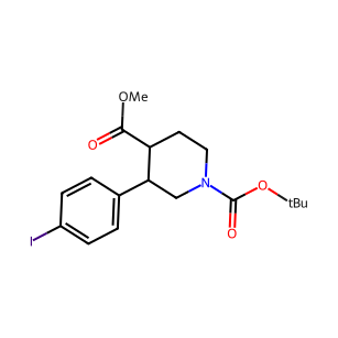 COC(=O)C1CCN(C(=O)OC(C)(C)C)CC1c1ccc(I)cc1